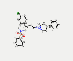 CN(C[C@@H](CCN1CCC(c2ccccc2)CC1)c1ccc(F)cc1)S(=O)(=O)c1ccccc1